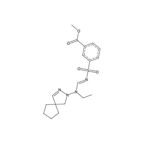 CCN(C=NS(=O)(=O)c1cccc(C(=O)OC)c1)N1CC2(C=N1)CCCC2